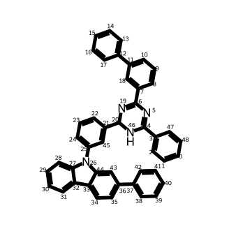 c1ccc(C2=NC(c3cccc(-c4ccccc4)c3)=NC(c3cccc(-n4c5ccccc5c5ccc(-c6ccccc6)cc54)c3)N2)cc1